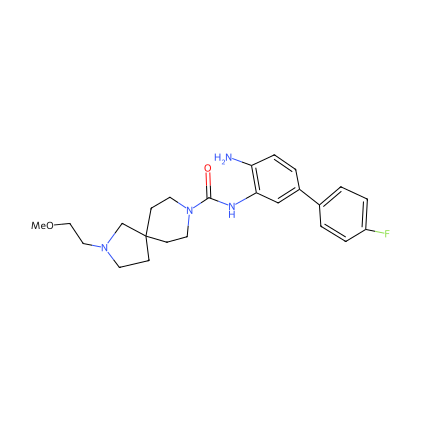 COCCN1CCC2(CCN(C(=O)Nc3cc(-c4ccc(F)cc4)ccc3N)CC2)C1